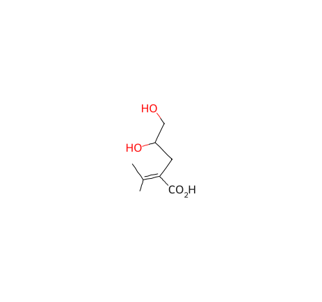 CC(C)=C(CC(O)CO)C(=O)O